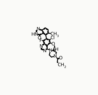 C=CC(=O)N1CCN2c3ncnc4c(F)c(-c5c(C)ccc6nc[nH]c(=O)c56)c(Cl)c(c34)OC[C@@H]2C1